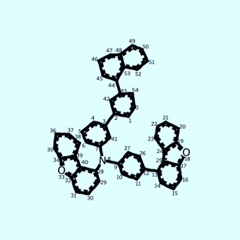 c1cc(-c2cccc(N(c3ccc(-c4cccc5oc6ccccc6c45)cc3)c3cccc4oc5ccccc5c34)c2)cc(-c2cccc3ccccc23)c1